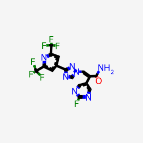 NC(=O)/C(=C/n1cnc(-c2cc(C(F)(F)F)nc(C(F)(F)F)c2)n1)c1cnc(F)nc1